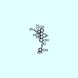 CC1=CC(c2c(O)ccc(C(=O)/C=C/c3ccc(O)cc3O)c2O)C(C(=O)c2ccc(O)c(/C=C/C(C)C)c2O)C(c2ccc(O)cc2O)C1